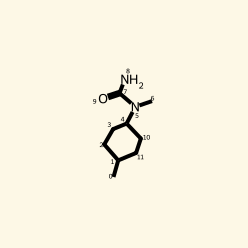 CC1CCC(N(C)C(N)=O)CC1